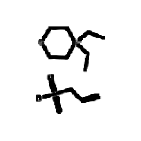 C=CCS(=O)(=O)[O-].CC[N+]1(CC)CCOCC1